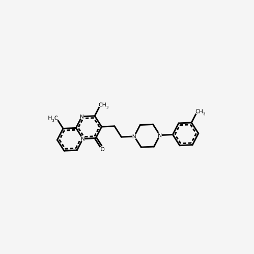 Cc1cccc(N2CCN(CCc3c(C)nc4c(C)cccn4c3=O)CC2)c1